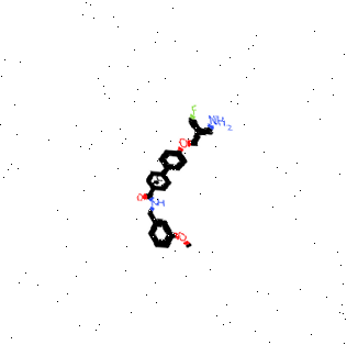 COc1cccc(CNC(=O)C23CCC(c4ccc(OCC(=CF)CN)cc4)(CC2)CC3)c1